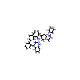 c1ccc(-c2ccccc2-c2nc(-n3c4ccccc4c4cc5c(ccn5-c5ccccc5)cc43)nc3ccccc23)cc1